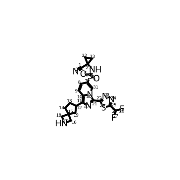 N#CC1(NS(=O)(=O)c2ccc3c(C4CCC5(CNC5)C4)nc(-c4nnc(C(F)F)s4)n3c2)CC1